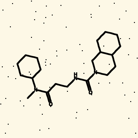 CN(C(=O)CCNC(=O)N1CCC2CCCCC2C1)C1CCCCC1